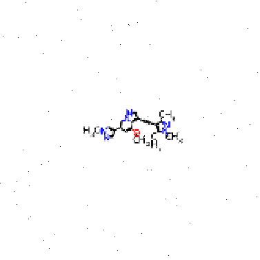 COc1cc(-c2cnn(C)c2)cn2ncc(C#Cc3c(C)nn(C)c3C)c12